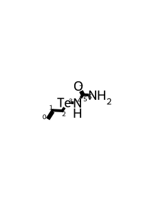 C=CC[Te]NC(N)=O